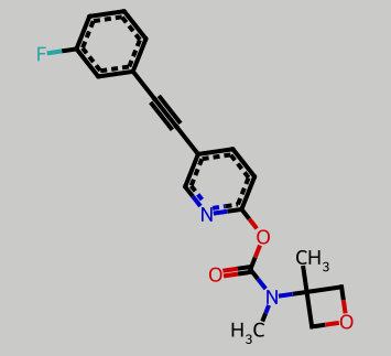 CN(C(=O)Oc1ccc(C#Cc2cccc(F)c2)cn1)C1(C)COC1